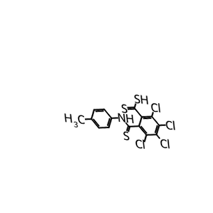 Cc1ccc(NC(=S)c2c(Cl)c(Cl)c(Cl)c(Cl)c2C(=S)S)cc1